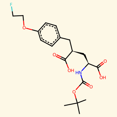 CC(C)(C)OC(=O)N[C@@H](C[C@H](Cc1ccc(OCCF)cc1)C(=O)O)C(=O)O